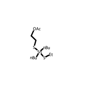 [CH2]C[S][Sn]([CH2]CCC)([CH2]CCC)[S]CCOC(C)=O